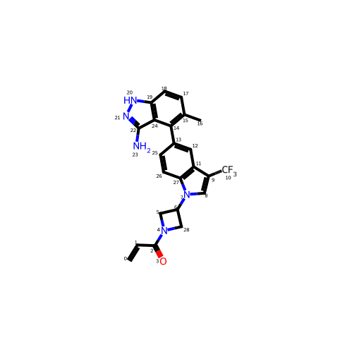 C=CC(=O)N1CC(n2cc(C(F)(F)F)c3cc(-c4c(C)ccc5[nH]nc(N)c45)ccc32)C1